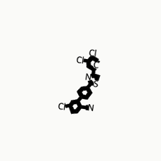 N#Cc1ccc(Cl)cc1-c1ccc(-c2nc(-c3ccc(Cl)c(Cl)c3)cs2)cc1